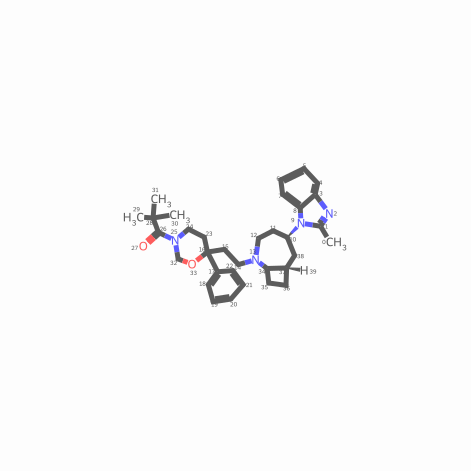 Cc1nc2ccccc2n1[C@@H]1CCN(CCC2(c3ccccc3)CCN(C(=O)C(C)(C)C)CO2)C2CC[C@H]2C1